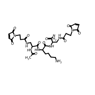 CC(=O)NC(CNC(=O)CCN1C(=O)C=CC1=O)C(=O)NC(CCCCN)C(=O)NC(CNC(=O)CCN1C(=O)C=CC1=O)C(N)=O